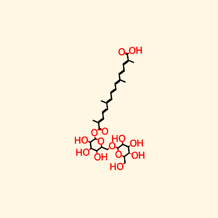 CC(/C=C/C=C(\C)C(=O)O)=C\C=C\C=C(C)\C=C\C=C(/C)C(=O)O[C@@H]1OC(CO[C@@H]2OC(CO)[C@@H](O)C(O)C2O)[C@@H](O)C(O)C1O